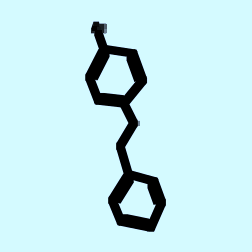 CC(=O)c1ccc([CH]Cc2ccccc2)cc1